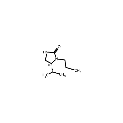 CCCN1C(=O)NC[C@H]1C(C)C